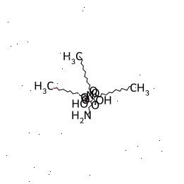 CCCCCCCCCCCC(=O)N(C(=O)CCCCCCCCCCC)[C@@](C(=O)O)(C(=O)CCCCCCCCCCC)C(CCCN)C(=O)O